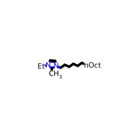 CCCCCCCCCCCCCCN1C=CN(CC)C1C